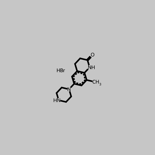 Br.Cc1cc(N2CCNCC2)cc2c1NC(=O)CC2